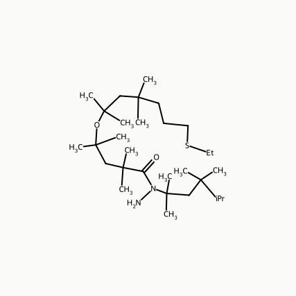 CCSCCCC(C)(C)CC(C)(C)OC(C)(C)CC(C)(C)C(=O)N(N)C(C)(C)CC(C)(C)C(C)C